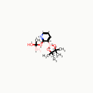 BC(C)(O)Oc1ncccc1B1OC(C)(C)C(C)(C)O1